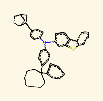 c1ccc(C2(c3ccc(N(c4ccc(C5CC6CCC5C6)cc4)c4ccc5c(c4)sc4ccccc45)cc3)CCCCCC2)cc1